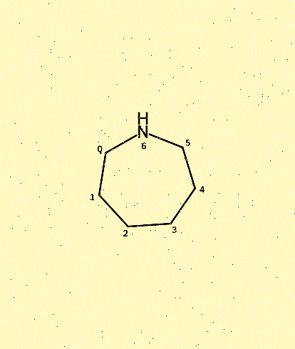 [CH]1CCCCCN1